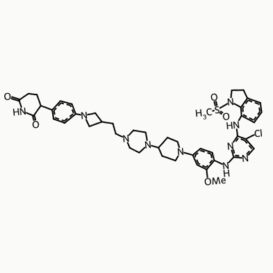 COc1cc(N2CCC(N3CCN(CCC4CN(c5ccc(C6CCC(=O)NC6=O)cc5)C4)CC3)CC2)ccc1Nc1ncc(Cl)c(Nc2cccc3c2N(S(C)(=O)=O)CC3)n1